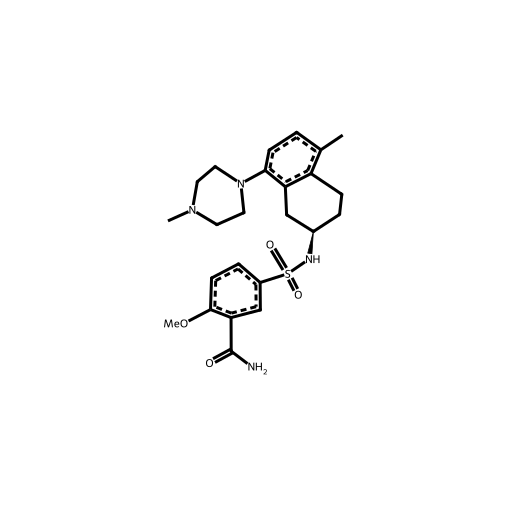 COc1ccc(S(=O)(=O)N[C@@H]2CCc3c(C)ccc(N4CCN(C)CC4)c3C2)cc1C(N)=O